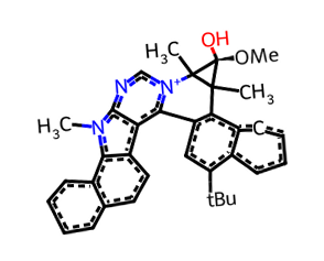 CO[C@@]1(O)C2(C)c3c(cc(C(C)(C)C)c4ccccc34)-c3c4c5ccc6ccccc6c5n(C)c4nc[n+]3C21C